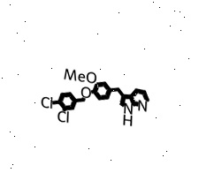 COc1cc(Cc2c[nH]c3ncccc23)ccc1OCc1ccc(Cl)c(Cl)c1